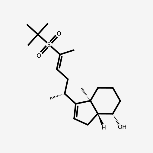 C/C(=C\C[C@@H](C)C1=CC[C@H]2[C@@H](O)CCC[C@]12C)S(=O)(=O)C(C)(C)C